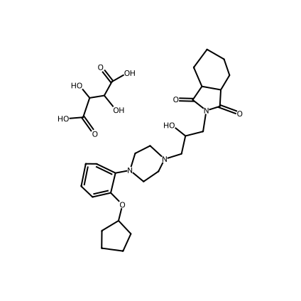 O=C(O)C(O)C(O)C(=O)O.O=C1C2CCCCC2C(=O)N1CC(O)CN1CCN(c2ccccc2OC2CCCC2)CC1